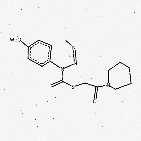 C=C(SCC(=O)N1CCCCC1)N(/N=N\C)c1ccc(OC)cc1